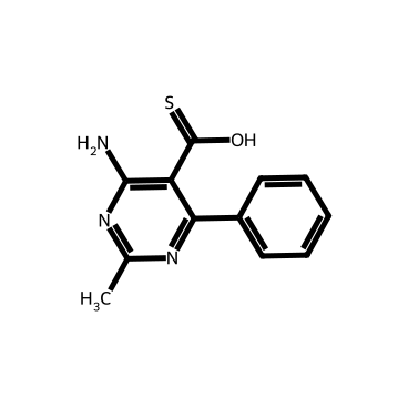 Cc1nc(N)c(C(O)=S)c(-c2ccccc2)n1